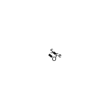 C=O.[S]=[Fe]